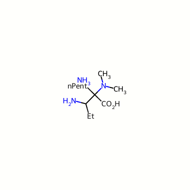 CCCCCC(C(=O)O)(C(N)CC)N(C)C.N